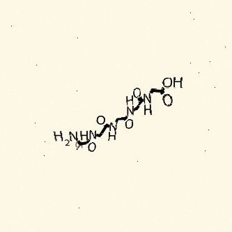 C[C@H](N)C(=O)NCC(=O)NCC(=O)NCC(=O)NCC(=O)O